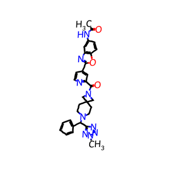 CC(=O)Nc1ccc2oc(-c3ccnc(C(=O)N4CC5(CCN(C(c6ccccc6)c6nnn(C)n6)CC5)C4)c3)nc2c1